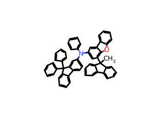 CC1(c2cc(N(c3ccccc3)c3ccc4c(c3)C(c3ccccc3)(c3ccccc3)c3ccccc3-4)cc3c2oc2ccccc23)c2ccccc2-c2ccccc21